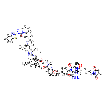 Cc1c(-c2ccc(-c3ccc4c(c3)N(C(=O)Nc3nc5ccccc5s3)CCC4)nc2C(=O)O)cnn1CC12CC3(C)CC(C)(C1)CC(OCCN(C)C(=O)[C@H](CS(=O)(=O)O)NC(=O)OCc1ccc(N(C(=O)[C@@H](NC(=O)CCCCCN4C(=O)C=CC4=O)C(C)C)[C@@H](C)C(N)=O)cc1)(C3)C2